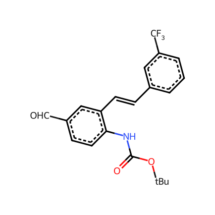 CC(C)(C)OC(=O)Nc1ccc(C=O)cc1/C=C/c1cccc(C(F)(F)F)c1